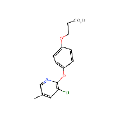 CCOC(=O)CCOc1ccc(Oc2ncc(C)cc2Cl)cc1